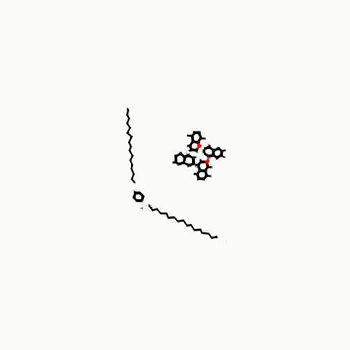 CCCCCCCCCCCCCCCCCCOc1ccc([NH+](C)CCCCCCCCCCCCCCCCCC)cc1.Fc1c(F)c(F)c2c(F)c([B-](c3c(F)c(F)c4c(F)c(F)c(F)c(F)c4c3F)(c3c(F)c(F)c4c(F)c(F)c(F)c(F)c4c3F)c3c(F)c(F)c4c(F)c(F)c(F)c(F)c4c3F)c(F)c(F)c2c1F